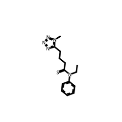 CCN(C(=S)CCCc1nnnn1C)c1ccccc1